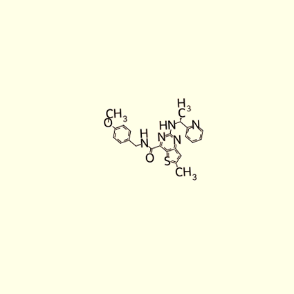 COc1ccc(CNC(=O)c2nc(N[C@@H](C)c3ccccn3)nc3cc(C)sc23)cc1